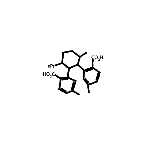 CCCC1CCC(C)C(c2cc(C)ccc2C(=O)O)C1c1cc(C)ccc1C(=O)O